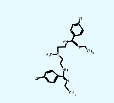 CC/N=C(/NCCN(C)CCN/C(=N/CC)c1ccc(Cl)cc1)c1ccc(Cl)cc1